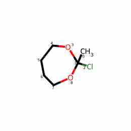 CC1(Cl)OCCCCO1